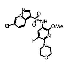 COc1nc(N2CCOCC2)c(F)cc1NS(=O)(=O)c1cnn2cc(Cl)ccc12